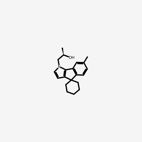 Cc1ccc2c(c1)-c1c(ccn1C[C@@H](C)O)C21CCCCC1